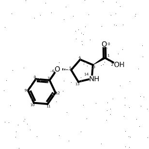 O=C(O)[C@@H]1C[C@@H](Oc2ccccc2)CN1